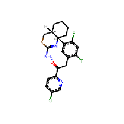 NC1=N[C@@]2(c3cc(CC(=O)c4ccc(Cl)cn4)c(F)cc3F)CCCC[C@H]2CS1